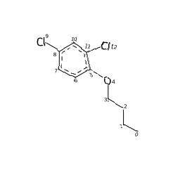 CCC[CH]Oc1ccc(Cl)cc1Cl